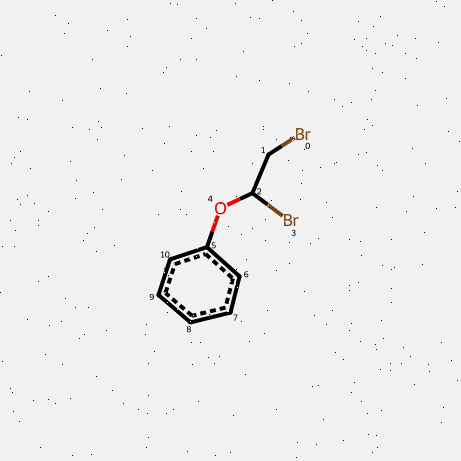 BrCC(Br)Oc1cc[c]cc1